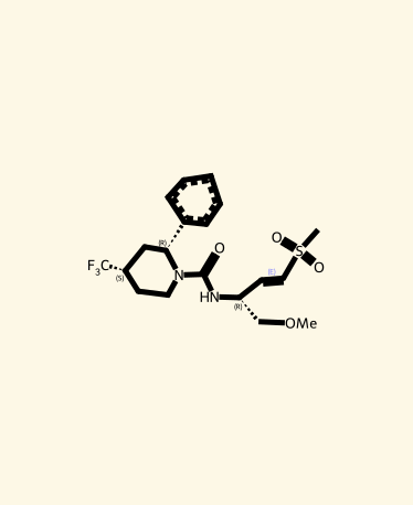 COC[C@@H](/C=C/S(C)(=O)=O)NC(=O)N1CC[C@H](C(F)(F)F)C[C@@H]1c1ccccc1